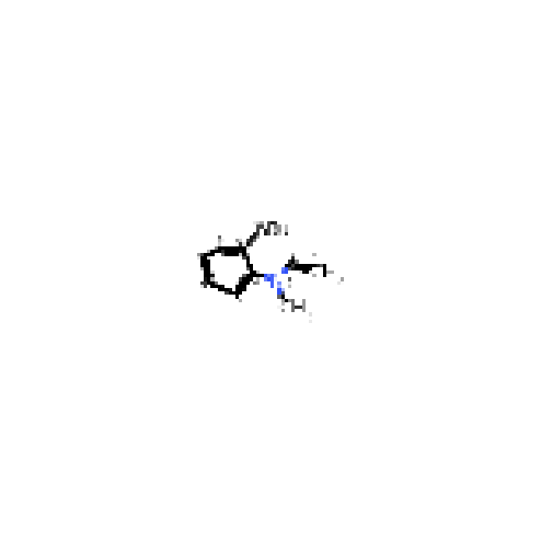 C=CN(C)c1ccccc1CCCC